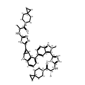 CC(Nc1nnc(C2=C3Oc4cccc(-c5ccc6nn(C)c(-c7nnc(N[C@H](C)C(=O)N8CCC9(CC8)CC9)o7)c6c5)c4C32)o1)C(=O)N1CCC2(CC1)CC2